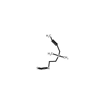 CC#CC[N+](C)(C)CCN=C=S